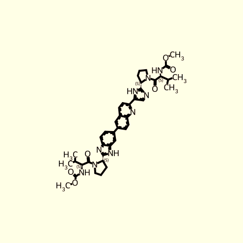 COC(=O)N[C@H](C(=O)N1CCC[C@H]1c1ncc(-c2ccc3cc(-c4ccc5nc([C@@H]6CCCN6C(=O)[C@@H](NC(=O)OC)C(C)C)[nH]c5c4)ccc3n2)[nH]1)C(C)C